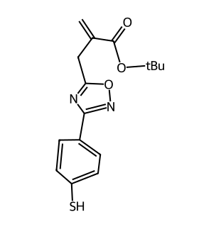 C=C(Cc1nc(-c2ccc(S)cc2)no1)C(=O)OC(C)(C)C